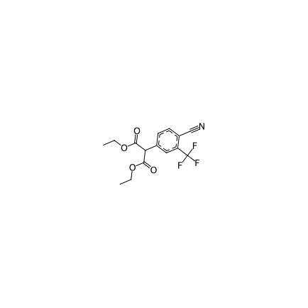 CCOC(=O)C(C(=O)OCC)c1ccc(C#N)c(C(F)(F)F)c1